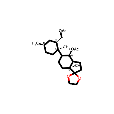 CC(=O)OC[C@H]1C[C@H](C)CC[C@]1(C)C1CC[C@@]2(C)C(CCC23OCCO3)[C@@H]1OC(C)=O